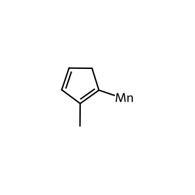 CC1=[C]([Mn])CC=C1